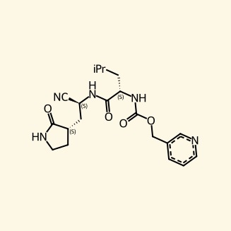 CC(C)C[C@H](NC(=O)OCc1cccnc1)C(=O)N[C@H](C#N)C[C@@H]1CCNC1=O